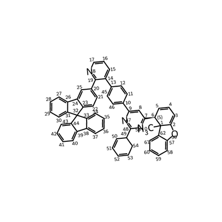 CC12C(=CC=C[C@@H]1c1cc(-c3ccc(-c4cccnc4-c4ccc5c(c4)-c4ccccc4C54c5ccccc5-c5ccccc54)cc3)nc(C3C=CC=CC3)n1)Oc1ccccc12